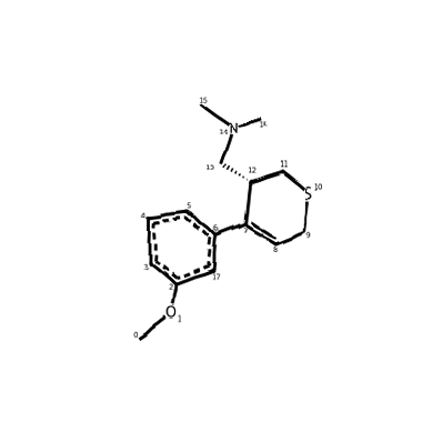 COc1cccc(C2=CCSC[C@H]2CN(C)C)c1